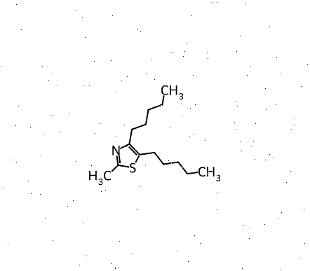 CCCCCc1nc(C)sc1CCCCC